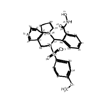 COc1ccc(S(=O)(=O)N(Cc2cccnc2)C(c2ccccc2C(=O)NO)N2CCCC2)cc1